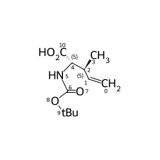 C=C[C@H](C)[C@H](NC(=O)OC(C)(C)C)C(=O)O